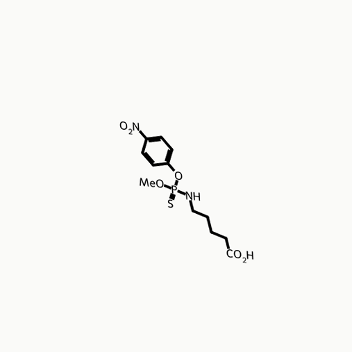 COP(=S)(NCCCCC(=O)O)Oc1ccc([N+](=O)[O-])cc1